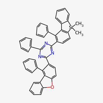 C[Si]1(C)c2ccccc2-c2c1ccc(-c1nc(-c3ccccc3)nc(-c3ccc4oc5ccccc5c4c3-c3ccccc3)n1)c2-c1ccccc1